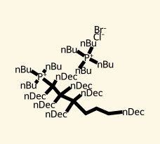 CCCCCCCCCCCCCC(CCCCCCCCCC)(CCCCCCCCCC)C(CCCCCCCCCC)(CCCCCCCCCC)C(CCCCCCCCCC)(CCCCCCCCCC)[P+](CCCC)(CCCC)CCCC.CCCC[P+](CCCC)(CCCC)CCCC.[Br-].[Cl-]